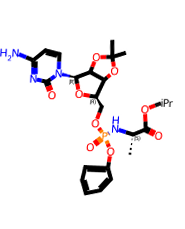 CC(C)OC(=O)[C@H](C)NP(=O)(OC[C@H]1O[C@@H](n2ccc(N)nc2=O)C2OC(C)(C)OC21)Oc1ccccc1